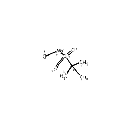 CC(C)(C)S(=O)(=O)NCl